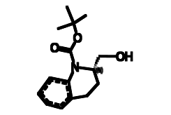 CC(C)(C)OC(=O)N1c2ccccc2CC[C@H]1CO